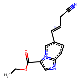 CCOC(=O)c1cnc2ccc(/C=C/CC#N)cn12